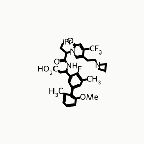 COc1cccc(C)c1-c1cc(C)c(F)c(C(CC(=O)O)NC(=O)C(CC(C)C)n2cc(CCN3CCC3)c(C(F)(F)F)cc2=O)c1